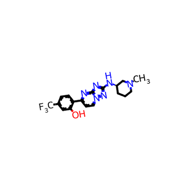 CN1CCC[C@@H](Nc2nc3nc(-c4ccc(C(F)(F)F)cc4O)ccn3n2)C1